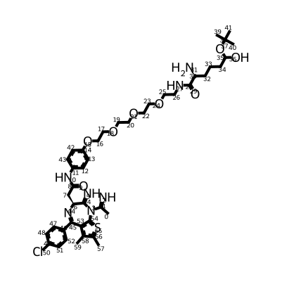 CC(=N)N1C(=N)[C@H](CC(=O)Nc2ccc(OCCOCCOCCOCCNC(=O)[C@H](N)CCCC(O)OC(C)(C)C)cc2)N=C(c2ccc(Cl)cc2)c2c1sc(C)c2C